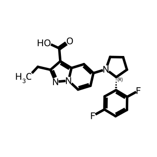 CCc1nn2ccc(N3CCC[C@@H]3c3cc(F)ccc3F)cc2c1C(=O)O